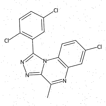 Cc1nc2cc(Cl)ccc2n2c(-c3cc(Cl)ccc3Cl)nnc12